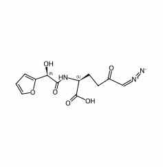 [N-]=[N+]=CC(=O)CC[C@H](NC(=O)[C@H](O)c1ccco1)C(=O)O